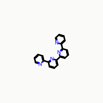 c1ccc(-c2cccc(-c3cccc(-c4ccccn4)n3)n2)nc1